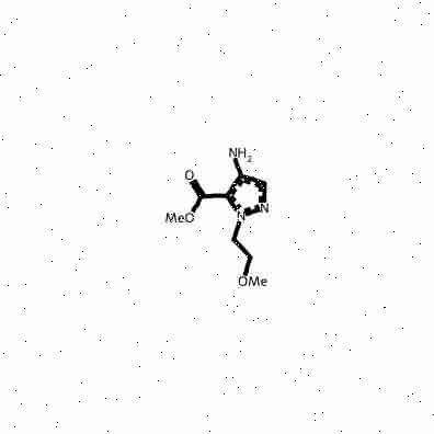 COCCn1ncc(N)c1C(=O)OC